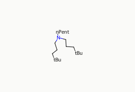 CCCCCN(CCCC(C)(C)C)CCCC(C)(C)C